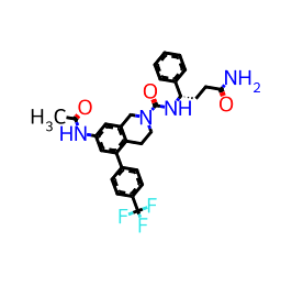 CC(=O)Nc1cc2c(c(-c3ccc(C(F)(F)F)cc3)c1)CCN(C(=O)N[C@@H](CCC(N)=O)c1ccccc1)C2